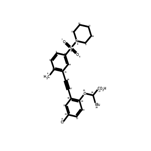 Cc1ccc(S(=O)(=O)N2CCCCC2)cc1C#Cc1cc(Cl)ccc1OC(C(=O)O)C(C)(C)C